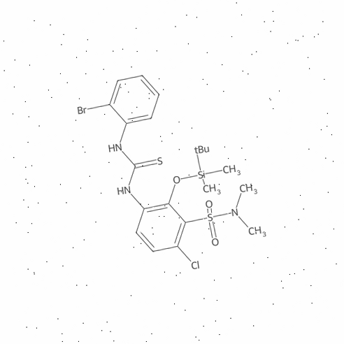 CN(C)S(=O)(=O)c1c(Cl)ccc(NC(=S)Nc2ccccc2Br)c1O[Si](C)(C)C(C)(C)C